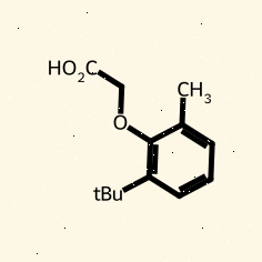 Cc1cccc(C(C)(C)C)c1OCC(=O)O